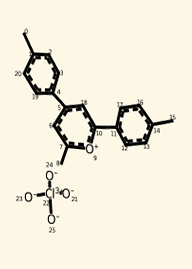 Cc1ccc(-c2cc(C)[o+]c(-c3ccc(C)cc3)c2)cc1.[O-][Cl+3]([O-])([O-])[O-]